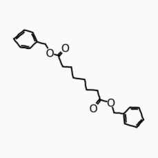 O=C(CCCCCCC(=O)OCc1ccccc1)OCc1ccccc1